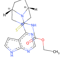 CCOC(=O)NC(=S)N1[C@@H]2CC[C@H]1CN(c1ncnc3[nH]ccc13)C2